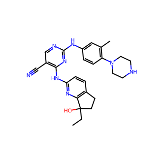 CCC1(O)CCc2ccc(Nc3nc(Nc4ccc(N5CCNCC5)c(C)c4)ncc3C#N)nc21